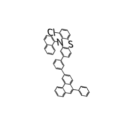 Clc1cccc2c1N(c1cccc3ccccc13)c1cc(-c3cccc(-c4ccc5c(-c6ccccc6)cc6ccccc6c5c4)c3)ccc1S2